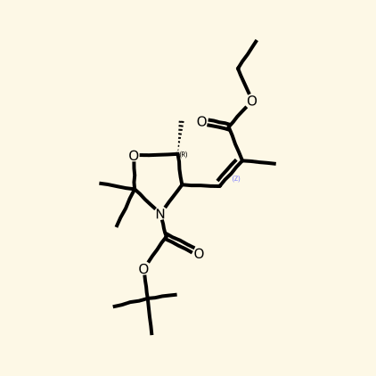 CCOC(=O)/C(C)=C\C1[C@@H](C)OC(C)(C)N1C(=O)OC(C)(C)C